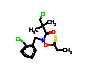 CCC(=S)ON(Cc1ccccc1Cl)C(=O)C(C)(C)CCl